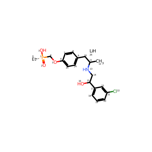 CC[P@](=O)(O)COc1ccc(CC(C)NCC(O)c2cccc(Cl)c2)cc1.[LiH]